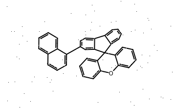 c1ccc2c(c1)Oc1ccccc1C21c2ccccc2-c2ccc(-c3cccc4ccccc34)cc21